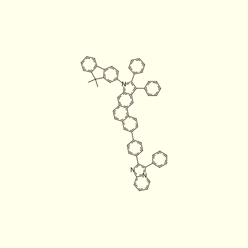 CC1(C)c2ccccc2-c2ccc(-n3c(-c4ccccc4)c(-c4ccccc4)c4cc5c(ccc6cc(-c7ccc(-c8nc9ccccn9c8-c8ccccc8)cc7)ccc65)cc43)cc21